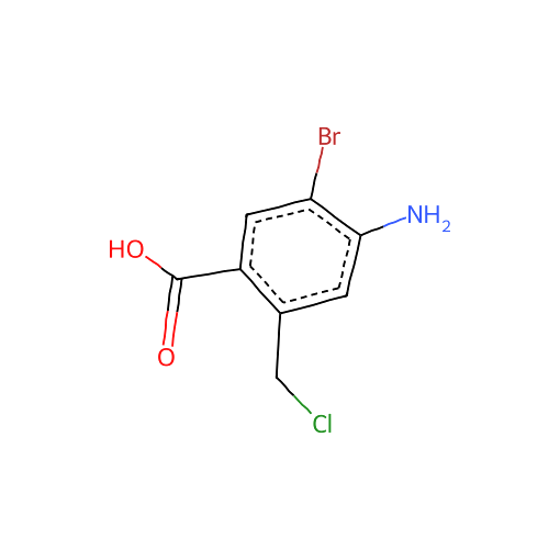 Nc1cc(CCl)c(C(=O)O)cc1Br